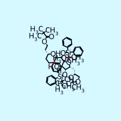 CC1(C)OC[C@@H](C[C@H]2O[C@H]3[C@@H](O[Si](c4ccccc4)(c4ccccc4)C(C)(C)C)[C@H]4O[C@@H](CCOC(=O)C(C)(C)C)CC[C@@H]4O[C@H]3[C@H]2O[Si](c2ccccc2)(c2ccccc2)C(C)(C)C)O1